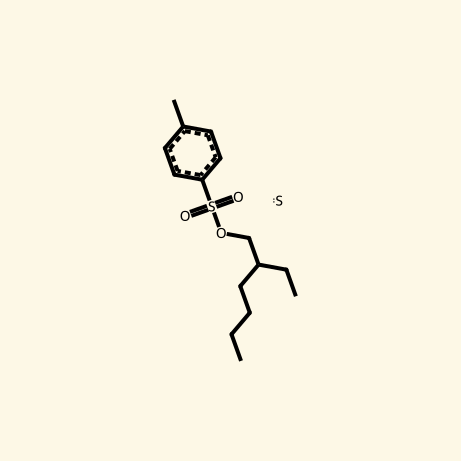 CCCCC(CC)COS(=O)(=O)c1ccc(C)cc1.[S]